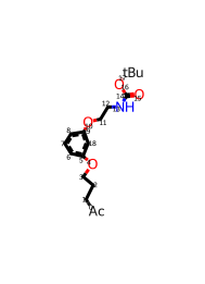 CC(=O)CCCOc1cccc(OCCNC(=O)OC(C)(C)C)c1